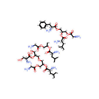 CC(C)C[C@H](N)C(=O)OC(C)COC(=O)CN.CC(C)C[C@H](N)C(=O)OC(COC(=O)CN)COC(=O)[C@@H](N)Cc1ccccc1.CC(C)C[C@H](N)C(=O)OC(COCC(CO)OC(=O)[C@@H](N)CO)COC(=O)CN